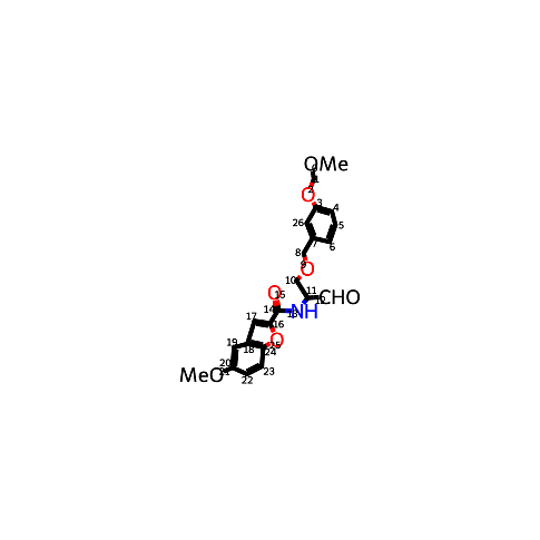 COCOc1cccc(COCC(C=O)NC(=O)c2cc3cc(OC)ccc3o2)c1